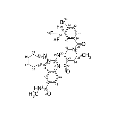 CNC(=O)c1ccc(-n2c(-n3cc4c(n3)CCCC4)nc3c(c2=O)C[C@@H](C)N(C(=O)c2ccc(Br)c(C(F)(F)F)c2)C3)cc1